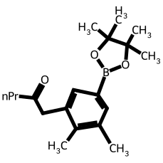 CCCC(=O)Cc1cc(B2OC(C)(C)C(C)(C)O2)cc(C)c1C